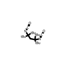 CC(C)(C)C(CC(N=C=O)(C(C)(C)C)C(C)(C)C)(N=C=O)C(C)(C)C